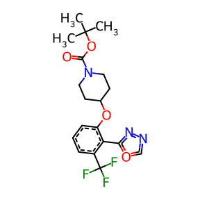 CC(C)(C)OC(=O)N1CCC(Oc2cccc(C(F)(F)F)c2-c2nnco2)CC1